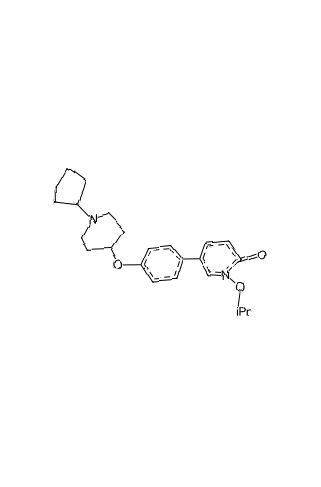 CC(C)On1cc(-c2ccc(OC3CCN(C4CCCC4)CC3)cc2)ccc1=O